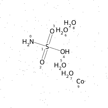 NS(=O)(=O)O.O.O.O.O.[Co]